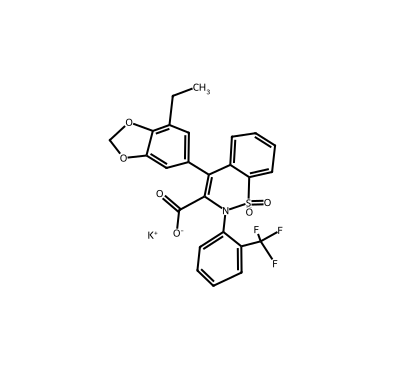 CCc1cc(C2=C(C(=O)[O-])N(c3ccccc3C(F)(F)F)S(=O)(=O)c3ccccc32)cc2c1OCO2.[K+]